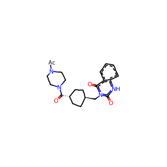 CC(=O)N1CCN(C(=O)[C@H]2CC[C@H](Cn3c(=O)[nH]c4ccccc4c3=O)CC2)CC1